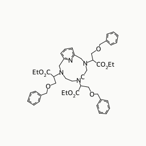 CCOC(=O)C(COCc1ccccc1)N1CCN(C(COCc2ccccc2)C(=O)OCC)Cc2cccc(n2)CN(C(COCc2ccccc2)C(=O)OCC)CC1